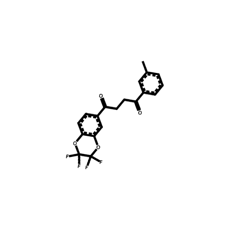 Cc1cccc(C(=O)CCC(=O)c2ccc3c(c2)OC(F)(F)C(F)(F)O3)c1